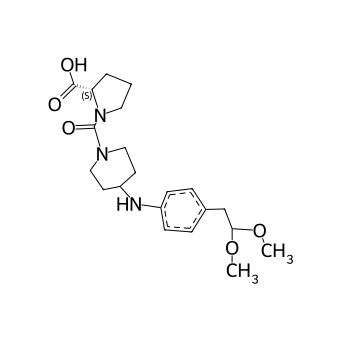 COC(Cc1ccc(NC2CCN(C(=O)N3CCC[C@H]3C(=O)O)CC2)cc1)OC